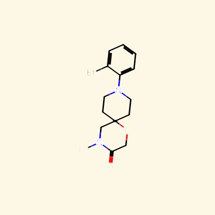 CCc1ccccc1N1CCC2(CC1)CN(CC)C(=O)CO2